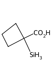 O=C(O)C1([SiH3])CCC1